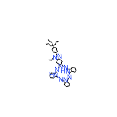 C=CCC(CC=C)(CC=C)c1ccc(-c2nc3cc4c(cc3n2CCC)-c2nc-4nc3[nH]c(nc4nc(nc5[nH]c(n2)c2ccccc52)-c2ccccc2-4)c2ccccc32)cc1